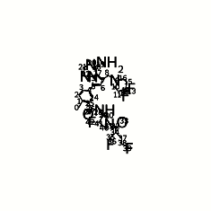 Cc1ccc(-c2cc(CN3CCC(F)(F)CC3)c3c(N)ncnn23)cc1C(=O)N[C@@H]1CN(C(=O)[C@H](CF)CCF)C[C@@H]1F